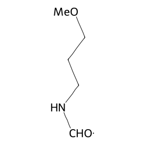 [CH2]OCCCN[C]=O